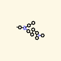 Cc1ccc(-c2nc(-c3ccc(-c4ccccc4)cc3)n(-c3ccc(-c4ccccc4-c4ccccc4-c4ccc5c(c4)c4ccccc4n5-c4ccccc4)cc3)n2)cc1